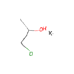 CC(O)CCl.[K]